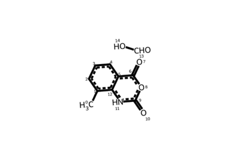 Cc1cccc2c(=O)oc(=O)[nH]c12.O=CO